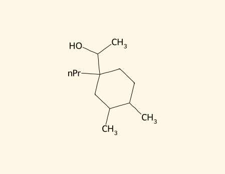 CCCC1(C(C)O)CCC(C)C(C)C1